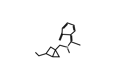 C=c1cccc/c1=C(\C)N(C)CC12CC(CC)C1C2